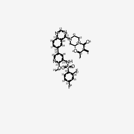 C=C(C(C)=O)C(=O)N1CCN(c2ncnc3ccc(-c4cnc(OC)c(NS(=O)(=O)c5ccc(F)cc5F)c4)cc23)CC1